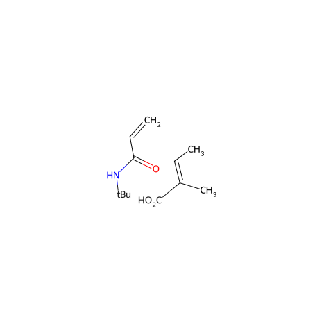 C=CC(=O)NC(C)(C)C.CC=C(C)C(=O)O